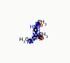 Cc1cc(N2CCc3c(nc(-c4ccc(Nc5nn(C)c(=O)[nH]5)cc4)nc3N3CCOC[C@@H]3C)C2)ncn1